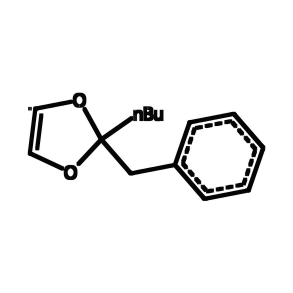 CCCCC1(Cc2ccccc2)O[C]=CO1